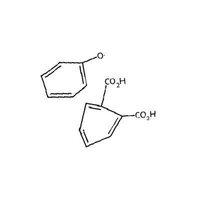 O=C(O)c1ccccc1C(=O)O.[O]c1ccccc1